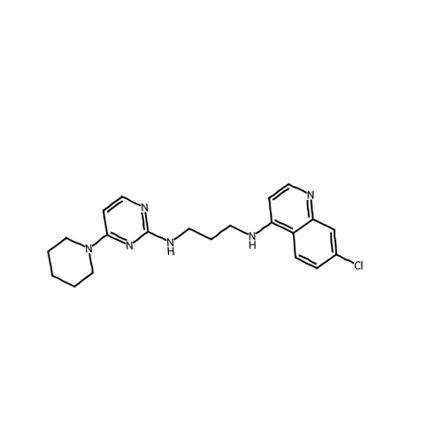 Clc1ccc2c(NCCCNc3nccc(N4CCCCC4)n3)ccnc2c1